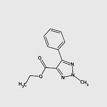 CCOC(=O)c1nn(C)nc1-c1ccccc1